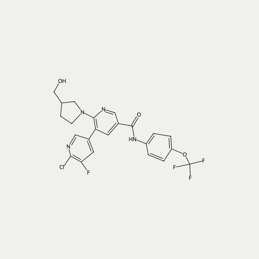 O=C(Nc1ccc(OC(F)(F)F)cc1)c1cnc(N2CCC(CO)C2)c(-c2cnc(Cl)c(F)c2)c1